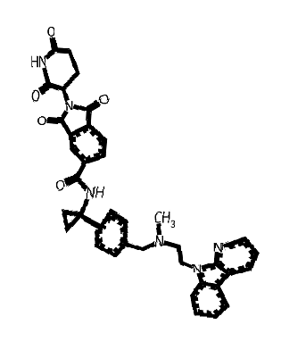 CN(CCn1c2ccccc2c2cccnc21)Cc1ccc(C2(NC(=O)c3ccc4c(c3)C(=O)N(C3CCC(=O)NC3=O)C4=O)CC2)cc1